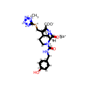 Cn1nnnc1SCC1=C(C(=O)[O-])N2C(=O)[C@@H]3[C@H]2C1CCN3C(=O)NCc1ccc(O)cc1.[Na+]